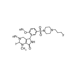 CCCOc1ccc(S(=O)(=O)N2CCN(CCCF)CC2)cc1C1NC(=O)C2=C1CN(CCC)C(I)N2C